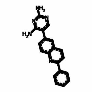 Nc1ncc(-c2ccc3nc(-c4ccccc4)ccc3c2)c(N)n1